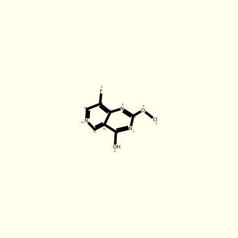 Oc1nc(OCl)nc2c(F)cncc12